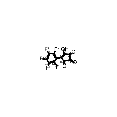 O=c1c(O)c(-c2c(F)c(F)c(F)c(F)c2F)c(=O)c1=O